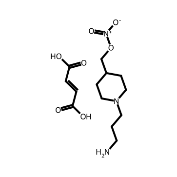 NCCCN1CCC(CO[N+](=O)[O-])CC1.O=C(O)C=CC(=O)O